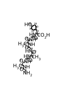 C[C@H](NC(=O)CN)C(=O)NCC(=O)N[C@@H](C)C(=O)NCC(=O)N[C@@H](C)C(=O)NCC(=O)N[C@@H](Cc1ccc(O)cc1)C(=O)O